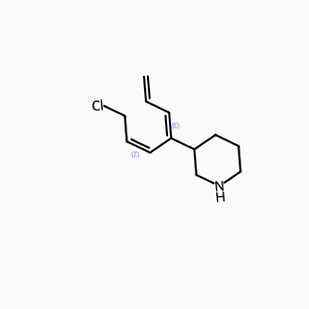 C=C/C=C(\C=C/CCl)C1CCCNC1